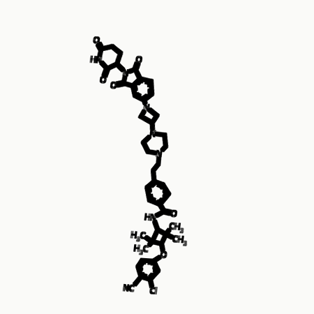 CC1(C)C(NC(=O)c2ccc(CCN3CCN(C4CN(c5ccc6c(c5)C(=O)N(C5CCC(=O)NC5=O)C6=O)C4)CC3)cc2)C(C)(C)C1Oc1ccc(C#N)c(Cl)c1